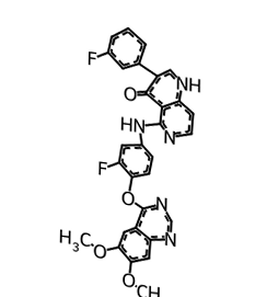 COc1cc2ncnc(Oc3ccc(Nc4nccc5[nH]cc(-c6cccc(F)c6)c(=O)c45)cc3F)c2cc1OC